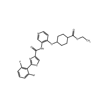 CCOC(=O)C1CCC(Oc2ccncc2NC(=O)c2csc(-c3c(F)cccc3F)n2)CC1